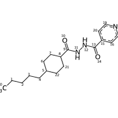 CCCCCC1CCC(C(=O)NNC(=O)c2ccncc2)CC1